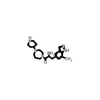 Cc1cc(CC(N)C(=O)N2CCCN(C3CCNCC3)CC2)cc2cn[nH]c12